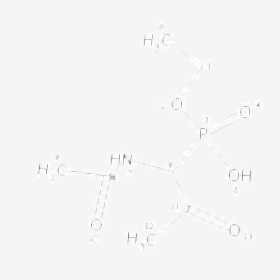 CCOP(=O)(O)C(NC(C)=O)C(C)=O